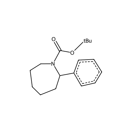 CC(C)(C)OC(=O)N1CCCCCC1c1ccccc1